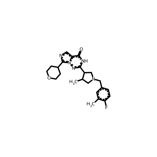 Cc1cc(CN2CC(C)C(c3nn4c(C5CCOCC5)ncc4c(=O)[nH]3)C2)ccc1F